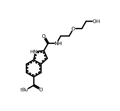 CC(C)(C)C(=O)c1ccc2[nH]c(C(=O)NCCOCCO)cc2c1